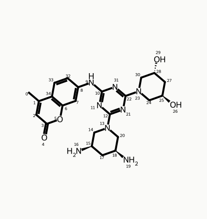 Cc1cc(=O)oc2cc(Nc3nc(N4C[C@H](N)C[C@H](N)C4)nc(N4C[C@H](O)C[C@@H](O)C4)n3)ccc12